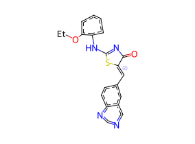 CCOc1ccccc1NC1=NC(=O)/C(=C/c2ccc3ncncc3c2)S1